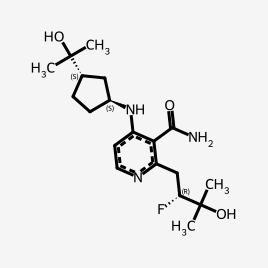 CC(C)(O)[C@H]1CC[C@H](Nc2ccnc(C[C@@H](F)C(C)(C)O)c2C(N)=O)C1